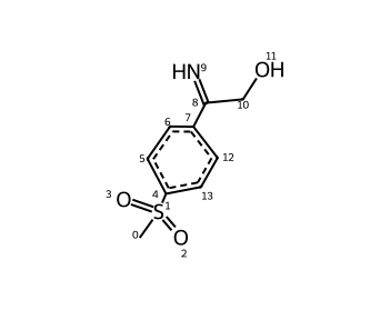 CS(=O)(=O)c1ccc(C(=N)CO)cc1